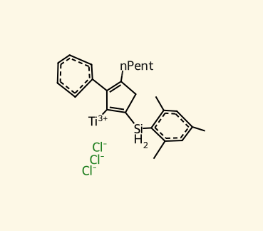 CCCCCC1=C(c2ccccc2)[C]([Ti+3])=C([SiH2]c2c(C)cc(C)cc2C)C1.[Cl-].[Cl-].[Cl-]